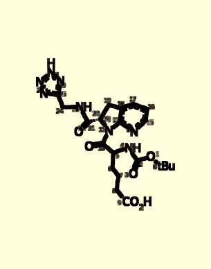 CC(C)(C)OC(=O)NC(CCCC(=O)O)C(=O)N1c2ncccc2C[C@H]1C(=O)NCc1nn[nH]n1